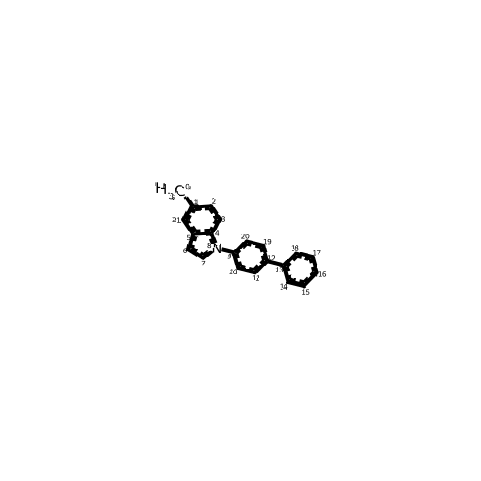 Cc1ccc2c(ccn2-c2ccc(-c3cc[c]cc3)cc2)c1